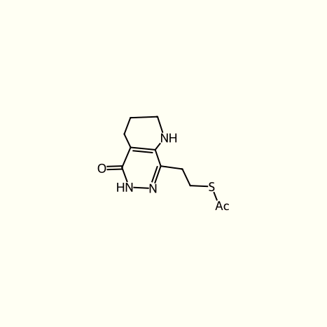 CC(=O)SCCc1n[nH]c(=O)c2c1NCCC2